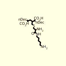 CCCCCCCCCCC(CC(CSC[C@H](N)C(=O)NCCCCCN)[C@@H](CCCCCCCCCC)C(=O)O)C(=O)O